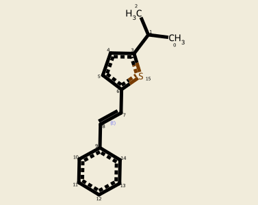 CC(C)c1ccc(/C=C/c2ccccc2)s1